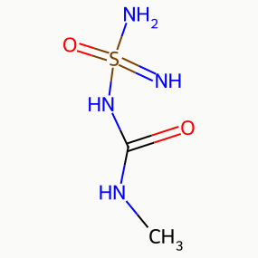 CNC(=O)NS(=N)(N)=O